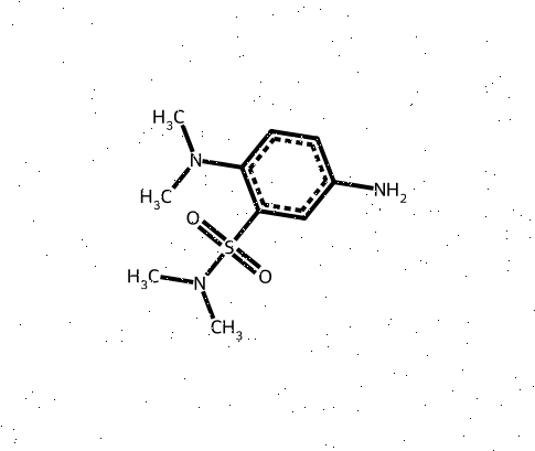 CN(C)c1ccc(N)cc1S(=O)(=O)N(C)C